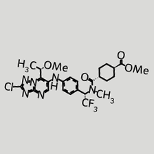 COC(=O)[C@H]1CC[C@H](C(=O)N(C)[C@@H](c2ccc(Nc3cnc4nc(Cl)nn4c3[C@H](C)OC)cc2)C(F)(F)F)CC1